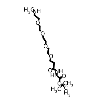 CNCCOCCOCCOCCOCCC(=O)NNC(=O)OC(C)(C)C